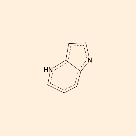 c1c[nH]c2ccnc-2c1